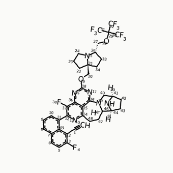 C#Cc1c(F)ccc2cccc(-c3nc4c5c(nc(OC[C@@]67CCCN6[C@H](COC(C(F)(F)F)(C(F)(F)F)C(F)(F)F)CC7)nc5c3F)N3C[C@H]5CC[C@H](N5)[C@H]3CC4)c12